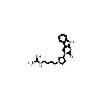 N=C(N)NCCCCN1CCC(n2cc3c(nc2=O)[nH]c2ccccc23)C1